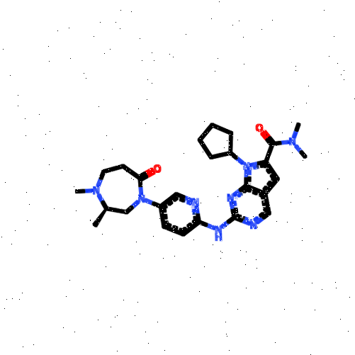 C[C@@H]1CN(c2ccc(Nc3ncc4cc(C(=O)N(C)C)n(C5CCCC5)c4n3)nc2)C(=O)CCN1C